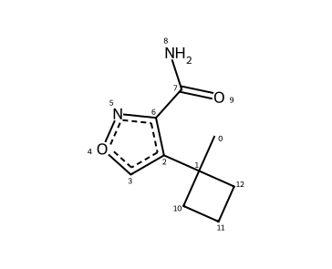 CC1(c2conc2C(N)=O)CCC1